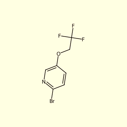 FC(F)(F)COc1ccc(Br)nc1